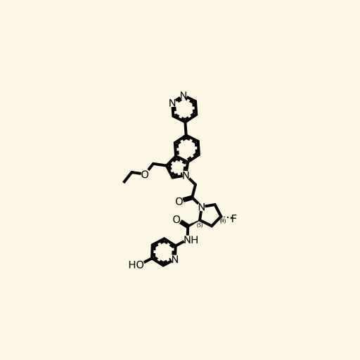 CCOCc1cn(CC(=O)N2C[C@H](F)C[C@H]2C(=O)Nc2ccc(O)cn2)c2ccc(-c3ccnnc3)cc12